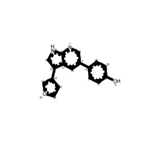 Oc1ccc(-c2cnc3[nH]cc(-c4ccoc4)c3c2)cc1